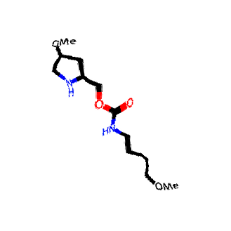 COCCCCNC(=O)OCC1CC(OC)CN1